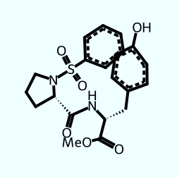 COC(=O)[C@@H](Cc1ccc(O)cc1)NC(=O)[C@@H]1CCCN1S(=O)(=O)c1ccccc1